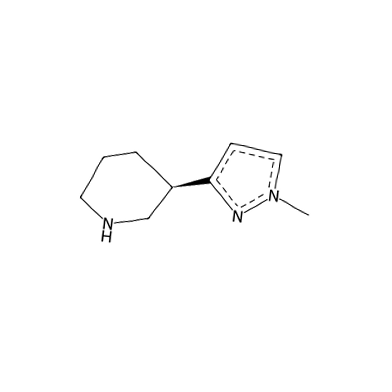 Cn1ccc([C@@H]2CCCNC2)n1